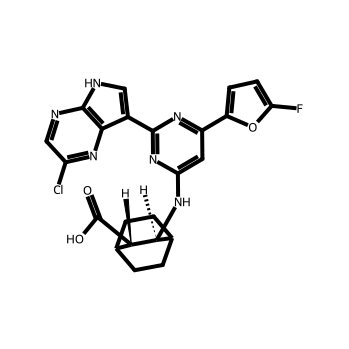 O=C(O)[C@H]1C2CCC(CC2)[C@@H]1Nc1cc(-c2ccc(F)o2)nc(-c2c[nH]c3ncc(Cl)nc23)n1